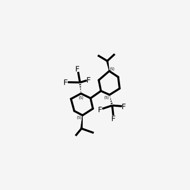 CC(C)[C@H]1CC[C@H](C(F)(F)F)C(C2C[C@@H](C(C)C)CC[C@@H]2C(F)(F)F)C1